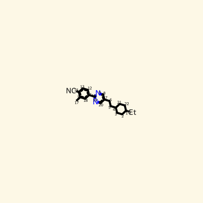 CCC1CCC(CCc2cnc(-c3ccc(C#N)c(C)c3)nc2)CC1